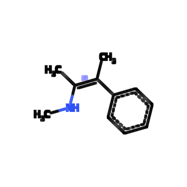 CN/C(C)=C(/C)c1ccccc1